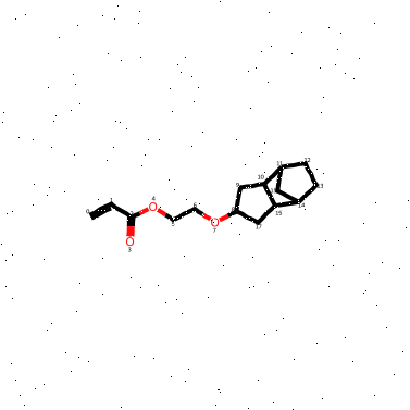 C=CC(=O)OCCOC1CC2C3CCC(C3)C2C1